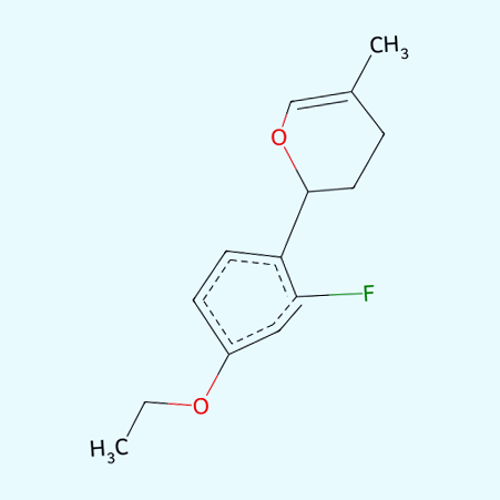 CCOc1ccc(C2CCC(C)=CO2)c(F)c1